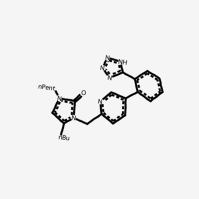 CCCCCn1cc(CCCC)n(Cc2ccc(-c3ccccc3-c3nnn[nH]3)cn2)c1=O